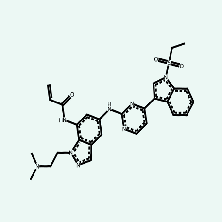 C=CC(=O)Nc1cc(Nc2nccc(-c3cn(S(=O)(=O)CC)c4ccccc34)n2)cc2cnn(CCN(C)C)c12